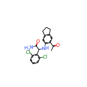 CC(=O)c1cc2c(cc1NC(C(N)=O)c1c(Cl)cccc1Cl)CCC2